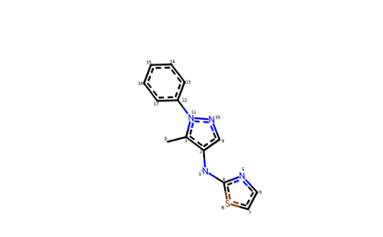 Cc1c([N]c2nccs2)cnn1-c1ccccc1